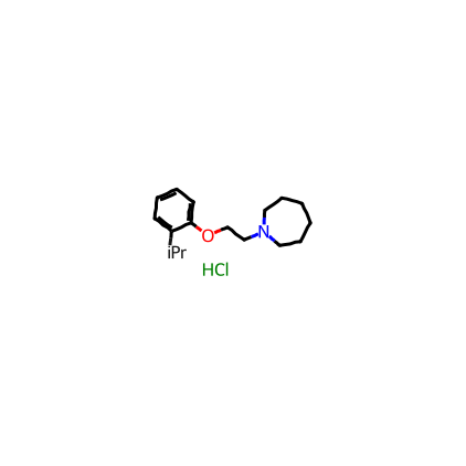 CC(C)c1ccccc1OCCN1CCCCCC1.Cl